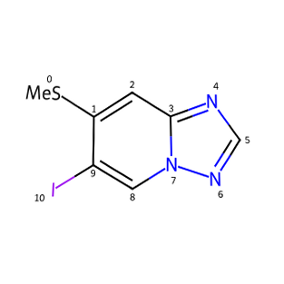 CSc1cc2ncnn2cc1I